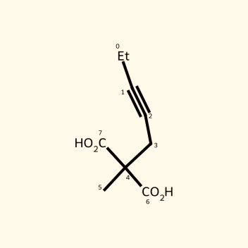 CCC#CCC(C)(C(=O)O)C(=O)O